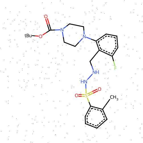 Cc1ccccc1S(=O)(=O)NNCc1c(F)cccc1N1CCN(C(=O)OC(C)(C)C)CC1